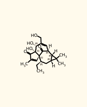 CC[C@@H]1C[C@@H]2[C@H]([C@@H]3C=C(CO)[C@@H](O)[C@]4(O)C(=O)C(C)=C[C@@]14C3=O)C2(C)C